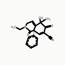 CCN1CC=C2C(C)(C)C(=O)C(C#N)=C[C@@]2(c2ccccc2)C1=O